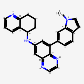 Cn1ccc2ccc(-c3cc(NC4CCCc5ncccc54)cc4nccnc34)cc21